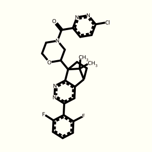 CC1(C)C2CCC1(C1CN(C(=O)c3ccc(Cl)nn3)CCO1)c1nnc(-c3c(F)cccc3F)cc12